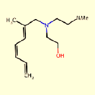 C=C/C=C\C=C(/C)CN(CCO)CCNC